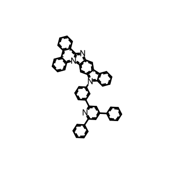 c1ccc(-c2cc(-c3ccccc3)nc(-c3cccc(-n4c5ccccc5c5cc6nc7c8ccccc8c8ccccc8n7c6cc54)c3)c2)cc1